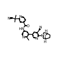 Cc1ncc(NC(=O)c2ccnc(C(C)(C)C#N)c2)cc1-c1cnc(N2C[C@H]3CC[C@@H](C2)O3)c(C#N)c1